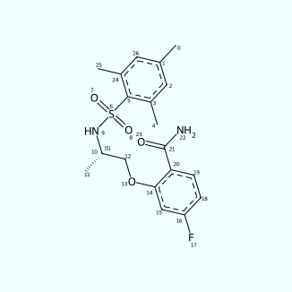 Cc1cc(C)c(S(=O)(=O)N[C@@H](C)COc2cc(F)ccc2C(N)=O)c(C)c1